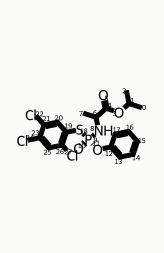 CC(C)OC(=O)C(C)NP(=O)(Oc1ccccc1)Sc1cc(Cl)c(Cl)cc1Cl